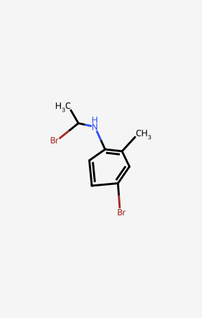 Cc1cc(Br)ccc1NC(C)Br